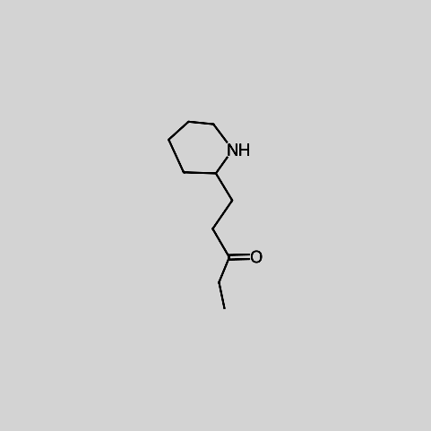 CCC(=O)CCC1CCCCN1